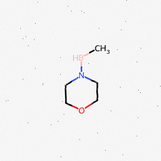 CBN1CCOCC1